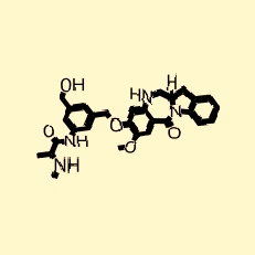 CNC(C)C(=O)Nc1cc(CO)cc(COc2cc3c(cc2OC)C(=O)N2c4ccccc4C[C@H]2CN3)c1